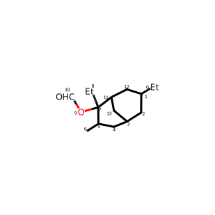 CCC1CC2CC(C)C(CC)(OC=O)C(C1)C2